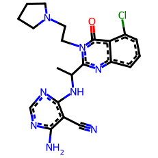 CC(Nc1ncnc(N)c1C#N)c1nc2cccc(Cl)c2c(=O)n1CCN1CCCC1